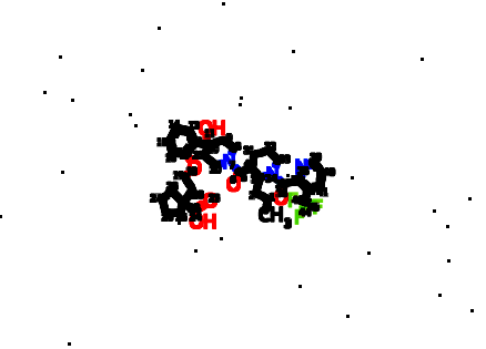 CCCC1C(C(=O)N2CCC(O)(c3ccccc3OCCC3(C(=O)O)CCCC3)CC2)CCCN1C(=O)c1ncccc1C(F)(F)F